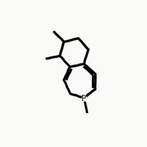 CC1CCC2=C=CP(C)CC=C2C1C